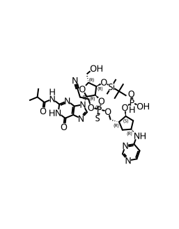 CC(C)C(=O)Nc1nc2c(ncn2[C@@H]2O[C@H](CO)[C@@H](O[Si](C)(C)C(C)(C)C)[C@H]2O[P@@](=S)(OCCC#N)OC[C@H]2C[C@@H](Nc3ccncn3)C[C@@H]2O[PH](=O)O)c(=O)[nH]1